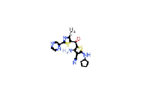 Cc1nc(-c2cnccn2)sc1C(=O)c1sc(NC2CCCC2)c(C#N)c1N